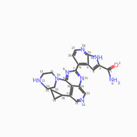 NC(=O)c1cc2c(-c3nc(N4CCNCC4)c4c(C5CC5)cncc4n3)ccnc2[nH]1